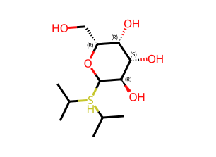 CC(C)[SH](C(C)C)C1O[C@H](CO)[C@H](O)[C@H](O)[C@H]1O